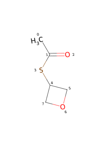 CC(=O)SC1COC1